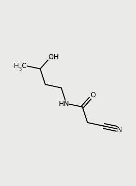 CC(O)CCNC(=O)CC#N